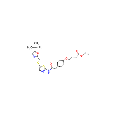 COC(=O)CCCOc1ccc(CC(=O)Nc2ncc(SCc3ncc(C(C)(C)C)o3)s2)cc1